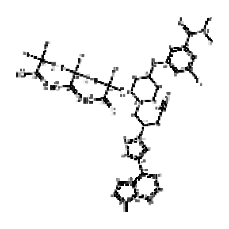 CN(C)C(=O)c1cc(F)cc(OC2CCN(CC(CC#N)n3cc(-c4ncnc5[nH]ccc45)cn3)CC2)c1.O=C(O)C(F)(F)F.O=C(O)C(F)(F)F.O=C(O)C(F)(F)F